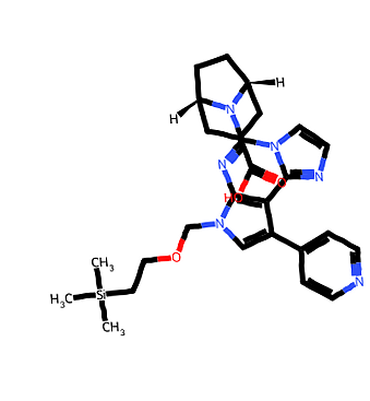 C[Si](C)(C)CCOCn1cc(-c2ccncc2)c2c1nc(N1[C@@H]3CC[C@H]1CC(C(=O)O)C3)n1ccnc21